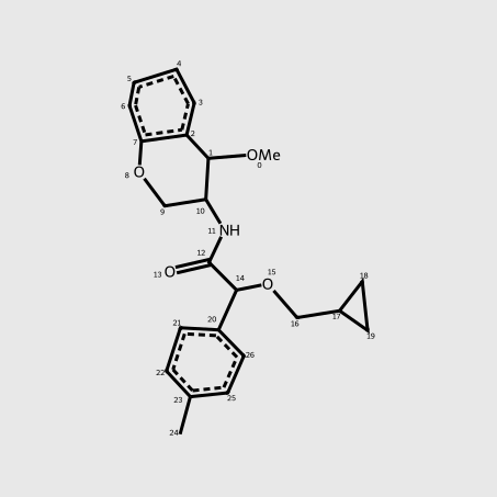 COC1c2ccccc2OCC1NC(=O)C(OCC1CC1)c1ccc(C)cc1